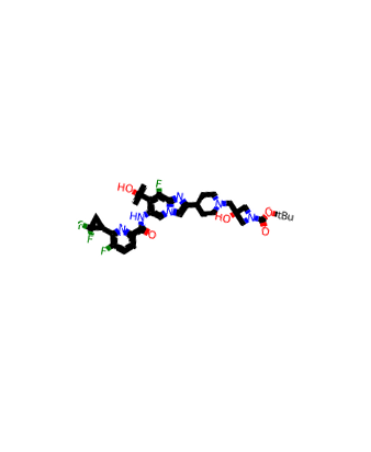 CC(C)(C)OC(=O)N1CC(O)(CN2CCC(c3cn4cc(NC(=O)c5ccc(F)c(C6CC6(F)F)n5)c(C(C)(C)O)c(F)c4n3)CC2)C1